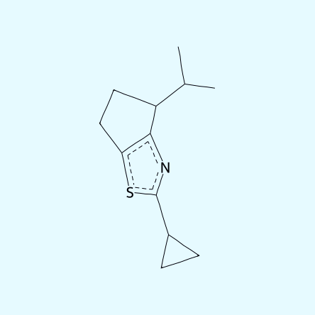 CC(C)C1CCc2sc(C3CC3)nc21